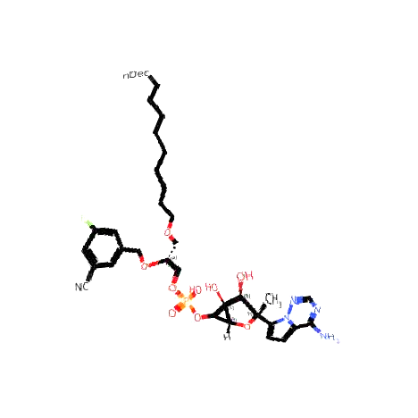 CCCCCCCCCCCCCCCCCCCOC[C@H](COP(=O)(O)OC1[C@H]2O[C@@](C)(c3ccc4c(N)ncnn34)[C@H](O)[C@@]12O)OCc1cc(F)cc(C#N)c1